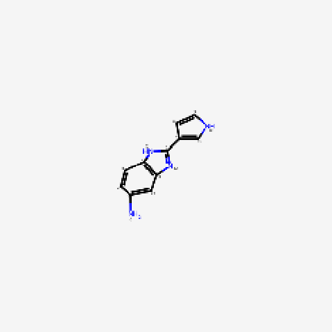 Nc1ccc2[nH]c(-c3cc[nH]c3)nc2c1